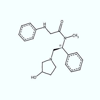 CN(C(=O)CNc1ccccc1)[C@H](CN1CCC(O)C1)c1ccccc1